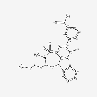 CCCCC1CN(c2ccccc2)c2cc(F)c(-c3cccc(C(=O)O)c3)cc2S(=O)(=O)N1C